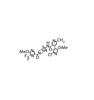 COc1cnc(Cl)cc1-c1cc(C)ncc1C(=O)Nc1nc2c(s1)CN(C(=O)c1cnc(OC)c(C(F)F)n1)C2